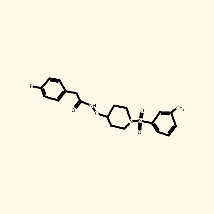 O=C(Cc1ccc(F)cc1)NOC1CCN(S(=O)(=O)c2cccc(C(F)(F)F)c2)CC1